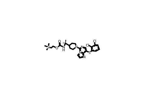 C[C@H](NC(=O)OCC[Si](C)(C)C)C1CCN(c2ncc(Sc3cccc(Cl)c3Cl)c3nccn23)CC1